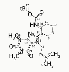 CC(C)=CCn1c([C@@H]2CCCC[C@H]2NC(=O)OC(C)(C)C)nc2c1c(=O)n(C)c(=O)n2C